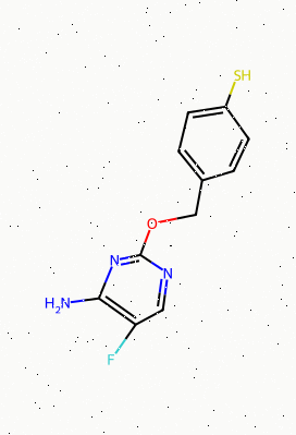 Nc1nc(OCc2ccc(S)cc2)ncc1F